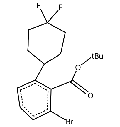 CC(C)(C)OC(=O)c1c(Br)cccc1C1CCC(F)(F)CC1